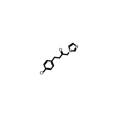 O=C(CCc1ccc(Cl)cc1)Cn1ccnc1